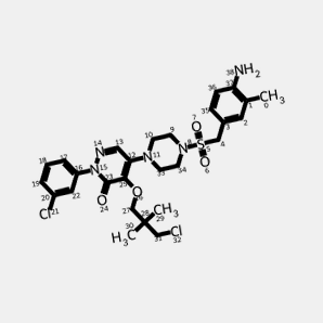 Cc1cc(CS(=O)(=O)N2CCN(c3cnn(-c4cccc(Cl)c4)c(=O)c3OCC(C)(C)CCl)CC2)ccc1N